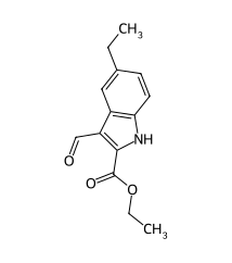 CCOC(=O)c1[nH]c2ccc(CC)cc2c1C=O